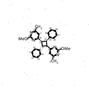 COc1nc(C)cc(C2[C@H](c3ccccc3)[C@@H](c3cc(C)nc(OC)n3)[C@H]2c2ccccc2)n1